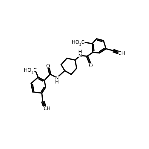 C#Cc1ccc(C(=O)O)c(C(=O)NC2CCC(NC(=O)c3cc(C#C)ccc3C(=O)O)CC2)c1